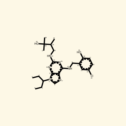 CCC(CC)n1cnc2c(NCc3cc(Cl)ccc3O)nc(NCC(C)C(C)(C)O)nc21